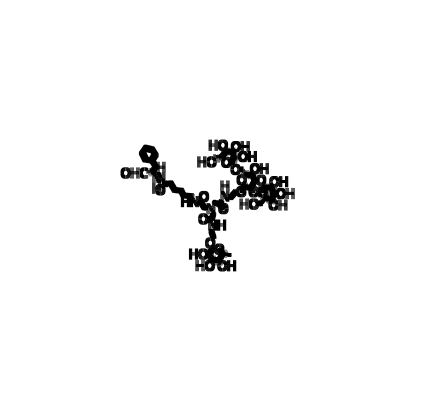 C[C@@H]1O[C@@H](OCCNC(=O)CN(CC(=O)NCCCCCC(=O)NN[C@H](C=O)Cc2ccccc2)CC(=O)NCCO[C@H]2O[C@H](CO[C@H]3O[C@H](CO)[C@@H](O)[C@H](O)[C@@H]3O)[C@@H](O)[C@H](O[C@H]3O[C@H](CO)[C@@H](O)[C@H](O)[C@@H]3O)[C@@H]2O)[C@@H](O)[C@H](O)[C@@H]1O